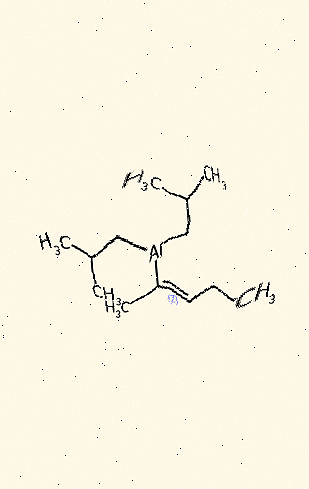 CC/C=[C](/C)[Al]([CH2]C(C)C)[CH2]C(C)C